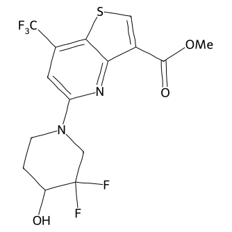 COC(=O)c1csc2c(C(F)(F)F)cc(N3CCC(O)C(F)(F)C3)nc12